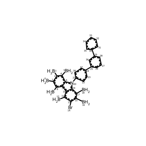 Bc1c(B)c(B)c2c(c1B)c1c(B)c(Br)c(B)c(B)c1n2-c1ccc(-c2cccc(-c3ccccc3)c2)cc1